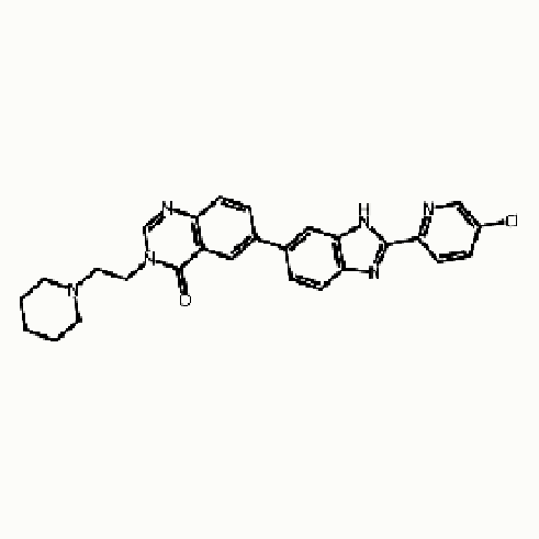 O=c1c2cc(-c3ccc4nc(-c5ccc(Cl)cn5)[nH]c4c3)ccc2ncn1CCN1CCCCC1